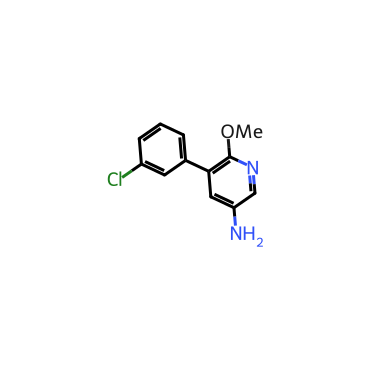 COc1ncc(N)cc1-c1cccc(Cl)c1